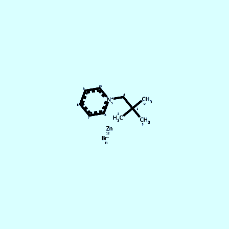 CC(C)(C)C[n+]1ccccc1.[Br-].[Zn]